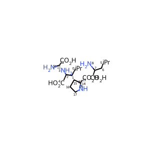 CC(C)CC(N)C(=O)O.CC(C)CC(N)C(=O)O.NCC(=O)O.O=C(O)[C@@H]1CCCN1